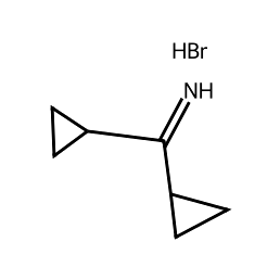 Br.N=C(C1CC1)C1CC1